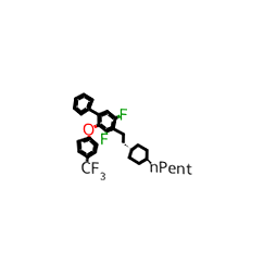 CCCCC[C@H]1CC[C@H](CCc2c(F)cc(-c3ccccc3)c(Oc3ccc(C(F)(F)F)cc3)c2F)CC1